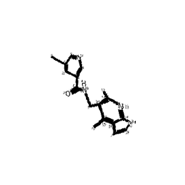 Cc1cncc(C(=O)NCc2c(C)nc3[nH]ccc3c2C)c1